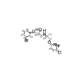 CC(C)(COc1ccc(Cl)nn1)NCC(O)COc1cccc(Br)c1